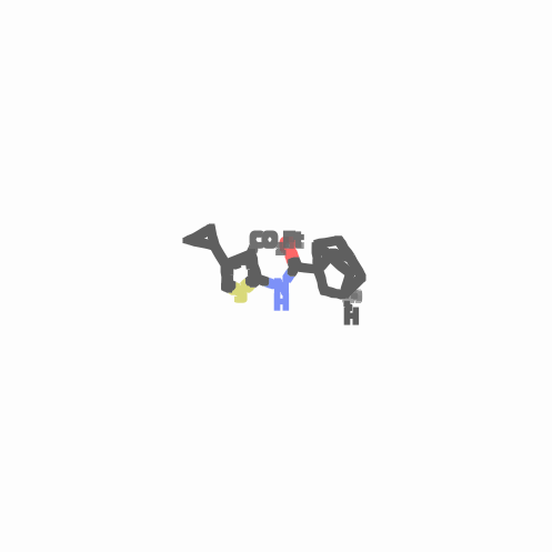 CCOC(=O)c1c(C2CC2)csc1NC(=O)C12CC3CC1C[C@@H](C3)C2